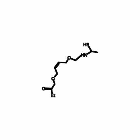 CCC(=O)COC/C=C\COCCNC(C)S